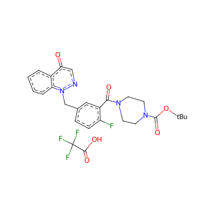 CC(C)(C)OC(=O)N1CCN(C(=O)c2cc(Cn3ncc(=O)c4ccccc43)ccc2F)CC1.O=C(O)C(F)(F)F